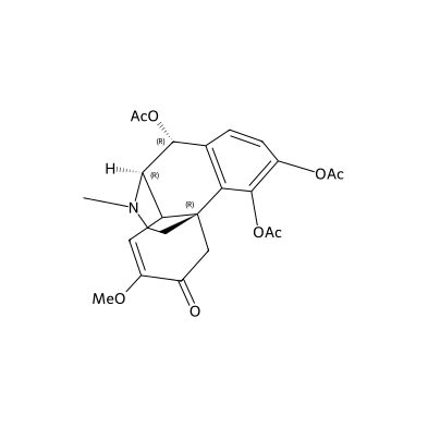 COC1=CC2[C@@H]3[C@H](OC(C)=O)c4ccc(OC(C)=O)c(OC(C)=O)c4[C@]2(CCN3C)CC1=O